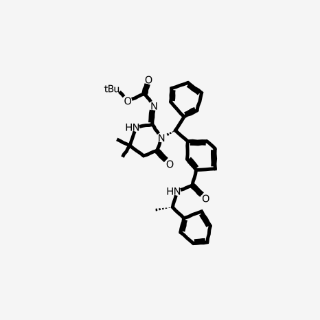 C[C@H](NC(=O)c1cccc([C@@H](c2ccccc2)N2C(=O)CC(C)(C)NC2=NC(=O)OC(C)(C)C)c1)c1ccccc1